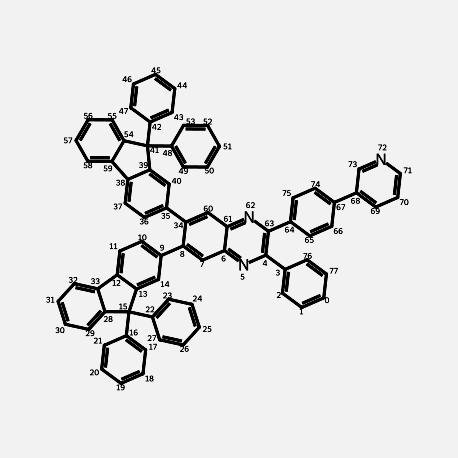 c1ccc(-c2nc3cc(-c4ccc5c(c4)C(c4ccccc4)(c4ccccc4)c4ccccc4-5)c(-c4ccc5c(c4)C(c4ccccc4)(c4ccccc4)c4ccccc4-5)cc3nc2-c2ccc(-c3cccnc3)cc2)cc1